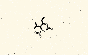 CCC(O[N+](=O)[O-])C(O[N+](=O)[O-])C(C)C